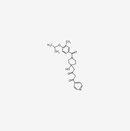 Cc1cc(C(=O)N2CCC(O)(CC(=O)CC(=O)c3ccncc3)CC2)ccc1OC(C)C